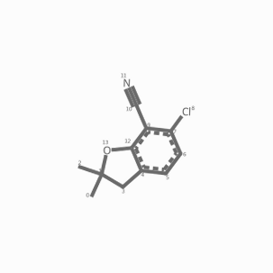 CC1(C)Cc2ccc(Cl)c(C#N)c2O1